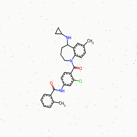 Cc1ccc2c(c1)C(NC1CC1)CCCN2C(=O)c1ccc(NC(=O)c2ccccc2C)cc1Cl